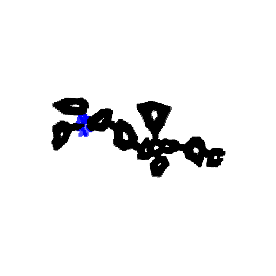 c1ccc(-c2ccc(-c3ccc4c(-c5ccccc5)c5cc(-c6ccc(-c7ccc8c(c7)nc(-c7ccccc7)n8-c7ccccc7)cc6)ccc5c(-c5ccccc5)c4c3)cc2)cc1